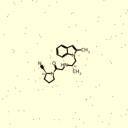 Cc1cc2ccccc2n1C[C@H](C)NCC(=O)N1CCC[C@H]1C#N